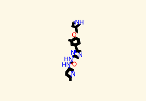 Cc1ccc(NC(=O)Nc2cncc(-c3ccc(OCC4CCNC4)c(C)c3)n2)cn1